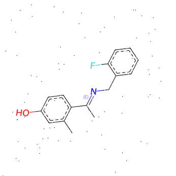 C/C(=N\Cc1ccccc1F)c1ccc(O)cc1C